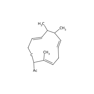 CC(=O)C1CC/C=C/C(C)C(C)/C=C/C/C=C/1C